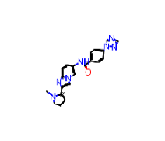 CN1CCC[C@@H]1c1cn2cc(NC(=O)c3ccc(-n4cncn4)cc3)ccc2n1